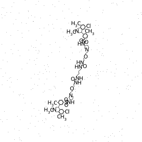 Cc1ccc(S(=O)(=O)N[C@@H]2CCN(CCOCCNC(=O)NCCCCNC(=O)NCCOCCN3CC[C@@H](NS(=O)(=O)c4ccc(C)c(C5CN(C)Cc6c(C)cc(Cl)cc65)c4)C3)C2)cc1C1CN(C)Cc2c(C)cc(Cl)cc21